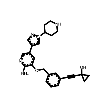 Nc1ncc(-c2cnn(C3CCNCC3)c2)cc1OCc1cccc(C#CC2(O)CC2)c1